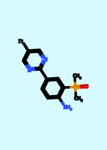 CCc1cnc(-c2ccc(N)c(P(C)(C)=O)c2)nc1